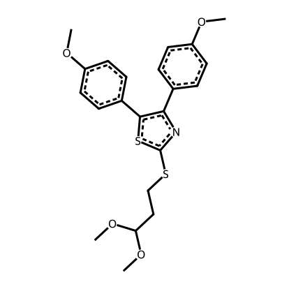 COc1ccc(-c2nc(SCCC(OC)OC)sc2-c2ccc(OC)cc2)cc1